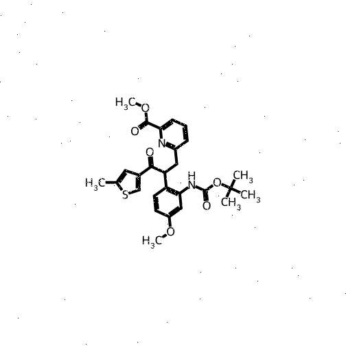 COC(=O)c1cccc(CC(C(=O)c2csc(C)c2)c2ccc(OC)cc2NC(=O)OC(C)(C)C)n1